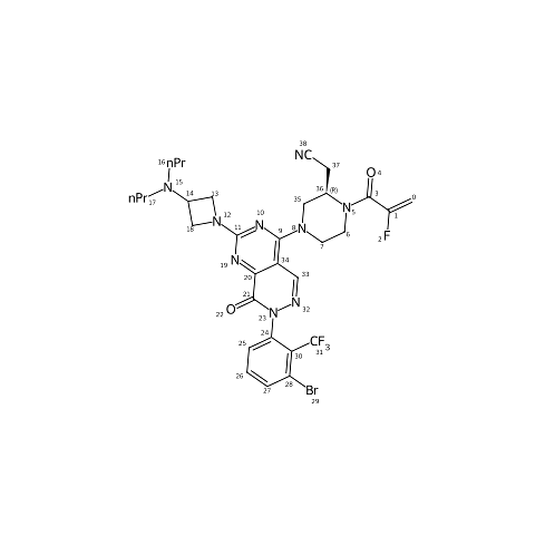 C=C(F)C(=O)N1CCN(c2nc(N3CC(N(CCC)CCC)C3)nc3c(=O)n(-c4cccc(Br)c4C(F)(F)F)ncc23)C[C@H]1CC#N